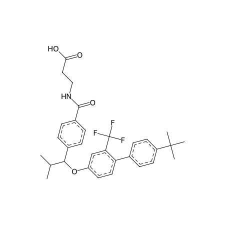 CC(C)C(Oc1ccc(-c2ccc(C(C)(C)C)cc2)c(C(F)(F)F)c1)c1ccc(C(=O)NCCC(=O)O)cc1